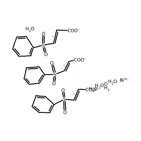 O.O.O.O.O.O=C([O-])/C=C/S(=O)(=O)c1ccccc1.O=C([O-])/C=C/S(=O)(=O)c1ccccc1.O=C([O-])/C=C/S(=O)(=O)c1ccccc1.[Bi+3]